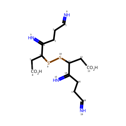 N=[C]CCC(=N)C(CC(=O)O)SSC(CC(=O)O)C(=N)CC[C]=N